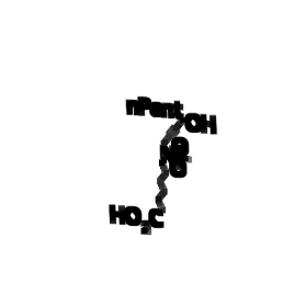 CCCCC[C@H](O)C#CCN(CCCCCCC(=O)O)S(C)(=O)=O